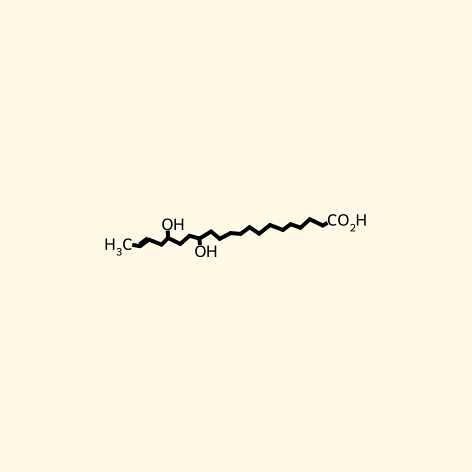 CC=CCC(O)CCC(O)CCCCCCCCCCCCC(=O)O